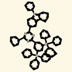 c1ccc(-c2nc(-c3cc([Si](c4ccccc4)(c4ccccc4)c4ccccc4)cc([Si](c4ccccc4)(c4ccccc4)c4ccccc4)c3)nc(-c3ccc4c(c3)c3ccccc3n4-c3ccccc3)n2)cc1